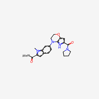 CNC(=O)c1cc2ccc(N3CCOc4cc(C(=O)N5CCCC5)[nH]c43)cc2n1C